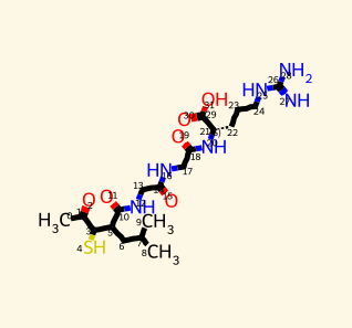 CC(=O)C(S)C(CC(C)C)C(=O)NCC(=O)NCC(=O)N[C@@H](CCCNC(=N)N)C(=O)O